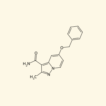 Cc1nn2ccc(OCc3ccccc3)cc2c1C(N)=O